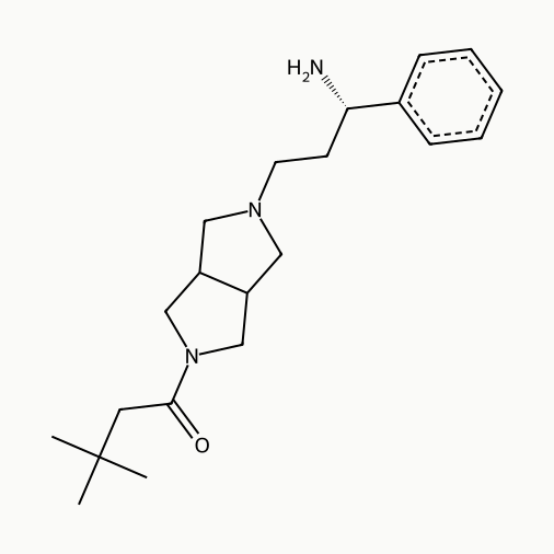 CC(C)(C)CC(=O)N1CC2CN(CC[C@H](N)c3ccccc3)CC2C1